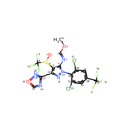 CO/C=N/c1c([S+]([O-])C(F)(F)F)c(-c2ncon2)nn1-c1c(Cl)cc(C(F)(F)F)cc1Cl